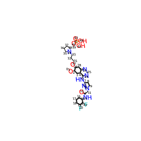 COc1cc2c(Nc3ccn(CC(=O)Nc4cccc(F)c4F)n3)ncnc2cc1OCCCN1CCC[C@@H]1COP(=O)(O)O